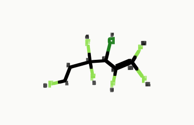 FCCC(F)(F)C(Cl)C(F)=C(F)F